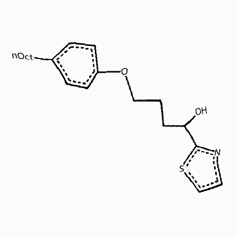 CCCCCCCCc1ccc(OCCCC(O)c2nccs2)cc1